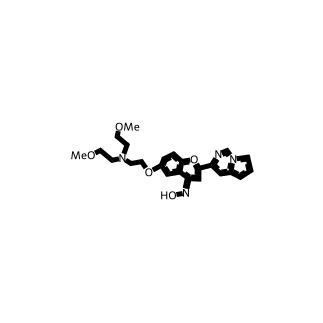 COCCN(CCOC)CCOc1ccc2oc(-c3cc4cccn4cn3)c/c(=N/O)c2c1